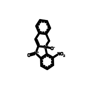 O=[N+]([O-])c1cccc2c1[N+]1([O-])Cc3ccccc3C=C1[N+]2=O